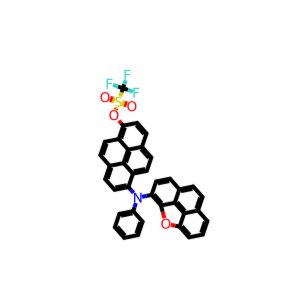 O=S(=O)(Oc1ccc2ccc3c(N(c4ccccc4)c4ccc5ccc6cccc7oc4c5c67)ccc4ccc1c2c43)C(F)(F)F